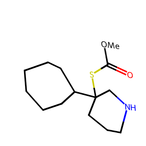 COC(=O)SC1(C2CCCCCC2)CCCNC1